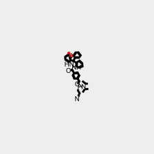 COc1ccccc1C(NNC(=O)c1ccc(COP(CCC#N)N(C(C)C)C(C)C)cc1)(c1ccccc1)c1ccccc1